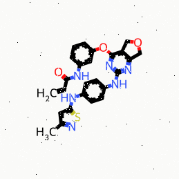 C=CC(=O)Nc1cccc(Oc2nc(Nc3ccc(Nc4cc(C)ns4)cc3)nc3c2COC3)c1